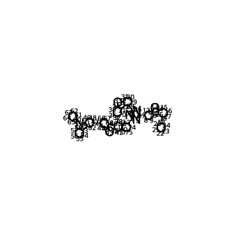 c1ccc(-c2nc(-c3ccc4c(c3)oc3cccc(-c5ccccc5)c34)nc(-c3cccc4oc5ccc(-c6cccc7oc8cc(-c9ccc%10c(c9)c9ccccc9n%10-c9ccccc9)ccc8c67)cc5c34)n2)cc1